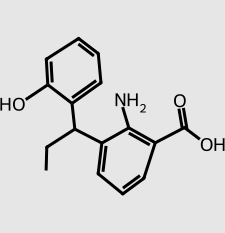 CCC(c1ccccc1O)c1cccc(C(=O)O)c1N